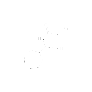 CC(C)(C)OC(=O)NC(C(=O)O)C1CCCCCC1